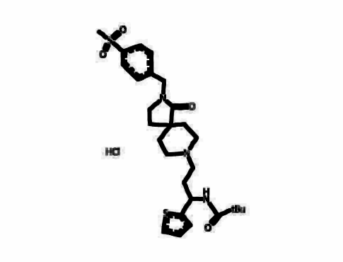 CC(C)(C)C(=O)NC(CCN1CCC2(CC1)CCN(Cc1ccc(S(C)(=O)=O)cc1)C2=O)c1cccs1.Cl